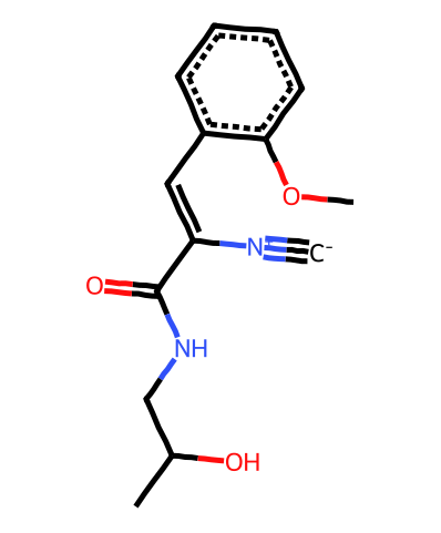 [C-]#[N+]/C(=C\c1ccccc1OC)C(=O)NCC(C)O